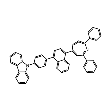 C1=CC(c2ccc(-c3ccc(-n4c5ccccc5c5ccccc54)cc3)c3ccccc23)=CC(c2ccccc2)=NC=1c1ccccc1